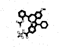 COc1ccc2c(c1)C=C(c1ccccc1OC(F)F)Cn1c-2c(C2CCCCC2)c2ccc(C(=O)NS(C)(=O)=O)cc21